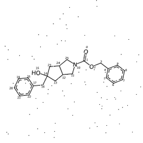 O=C(OCc1ccccc1)N1CC2CC(O)(Cc3ccccc3)CC2C1